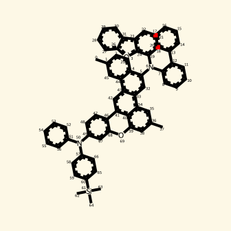 Cc1ccc2c(N(c3ccccc3-c3ccccc3)c3cccc4c3oc3ccccc34)cc3c4cc(C)cc5c4c(cc3c2c1)-c1ccc(N(c2ccccc2)c2ccc([Si](C)(C)C)cc2)cc1O5